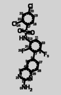 Nc1ncc2cc(-c3c(F)ccc(NS(=O)(=O)c4ccc(Cl)cc4Cl)c3F)ccc2n1